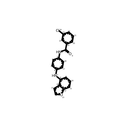 O=C(Nc1ccc(Nc2cccc3occc23)cc1)c1cccc(Cl)c1